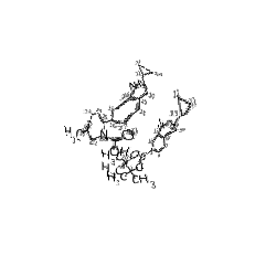 CC1(C)OB(c2ccc3cn(C4CC4)nc3c2)OC1(C)C.C[C@H]1CC=C(c2ccc3cn(C4CC4)nc3c2)N(C(=O)O)C1